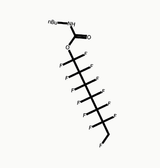 CCCCNC(=O)OC(F)(F)C(F)(F)C(F)(F)C(F)(F)C(F)(F)C(F)(F)CF